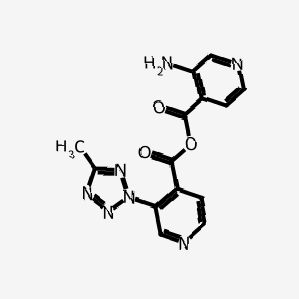 Cc1nnn(-c2cnccc2C(=O)OC(=O)c2ccncc2N)n1